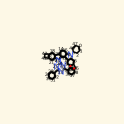 C1=CCC(n2c3cc4c(cc3c3c5c(ccc32)c2cc3c(cc2n5-c2nc(-c5ccccc5)nc(-c5ccccc5)n2)CC3)CC4)C=C1